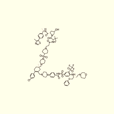 Cc1ncsc1-c1ccc([C@H](C)NC(=O)[C@@H]2C[C@@H](O)CN2C(=O)[C@@H](NC(=O)CCN2CCC(S(=O)(=O)N3CCN(C[C@]4(C)CCC(c5ccc(Cl)cc5)=C(CN5CCN(c6ccc(C(=O)NS(=O)(=O)c7ccc(N[C@H](CCN8CCCOCC8)CSc8ccccc8)c(S(=O)(=O)C(F)(F)F)c7)cc6)CC5)C4)CC3)CC2)C(C)(C)C)cc1